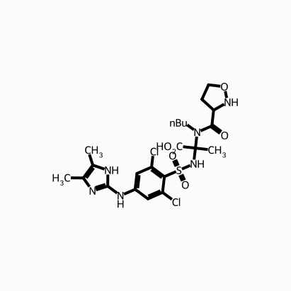 CCCCN(C(=O)C1CCON1)C(C)(NS(=O)(=O)c1c(Cl)cc(Nc2nc(C)c(C)[nH]2)cc1Cl)C(=O)O